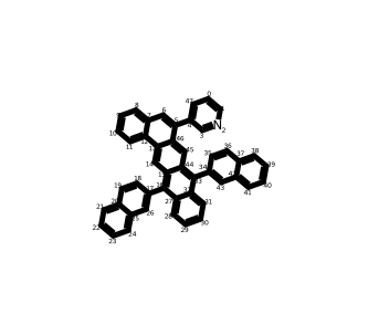 c1cncc(-c2cc3ccccc3c3cc4c(-c5ccc6ccccc6c5)c5ccccc5c(-c5ccc6ccccc6c5)c4cc23)c1